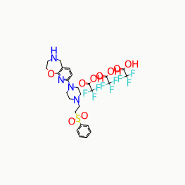 O=C(O)C(F)(F)F.O=C(O)C(F)(F)F.O=C(O)C(F)(F)F.O=S(=O)(CCN1CCN(c2ccc3c(n2)OCCNC3)CC1)c1ccccc1